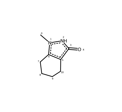 Cn1[nH]c(=O)c2c1CCCC2